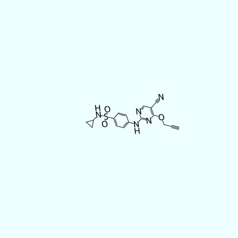 C#CCOc1nc(Nc2ccc(S(=O)(=O)NC3CC3)cc2)ncc1C#N